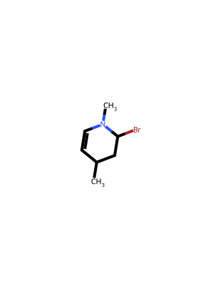 CC1C=CN(C)C(Br)C1